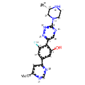 COc1cc(-c2cc(O)c(-c3cnc(N4CCN[C@@H](C(C)C)C4)nn3)c(F)c2)ncn1